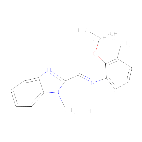 Cc1cccc(N=Cc2nc3ccccc3n2C)c1O[SiH](C)C.[H+]